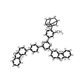 Cc1cc(-c2nc(-c3ccc(-c4ccc5oc6ccccc6c5c4)cc3)nc(-c3ccc4oc5ccccc5c4c3)n2)ccc1C12CC3CC(CC(C3)C1)C2